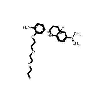 CN(C)C1=CC=C2N[C@H](c3ccc(N)c(OCCOCCOCCF)c3)CC[C@@H]2C1